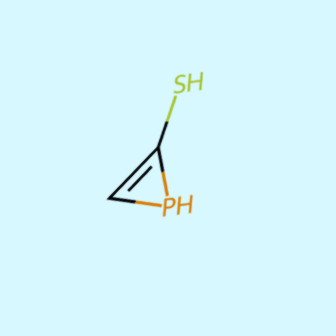 SC1=CP1